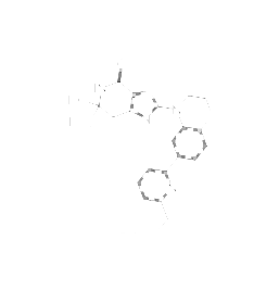 CCOC(=O)Cc1cccc(-c2ccc3c(c2)N(c2nc4c(s2)C(=O)NC(C)(C)C4)CCO3)n1